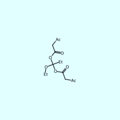 CCOC(CC)(OC(=O)CC(C)=O)OC(=O)CC(C)=O